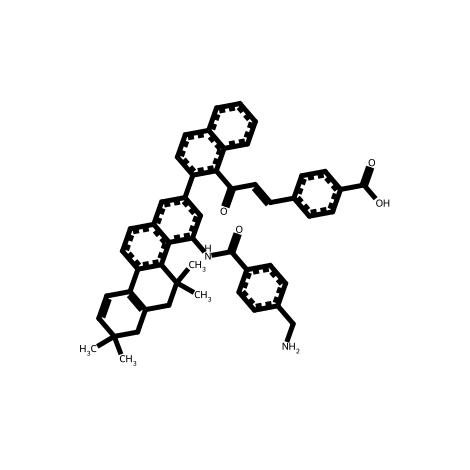 CC1(C)C=CC2=C(C1)CC(C)(C)c1c2ccc2cc(-c3ccc4ccccc4c3C(=O)C=Cc3ccc(C(=O)O)cc3)cc(NC(=O)c3ccc(CN)cc3)c12